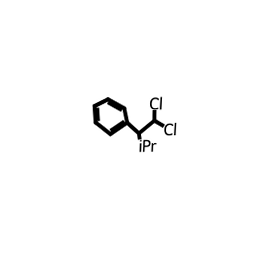 CC(C)C(c1ccccc1)C(Cl)Cl